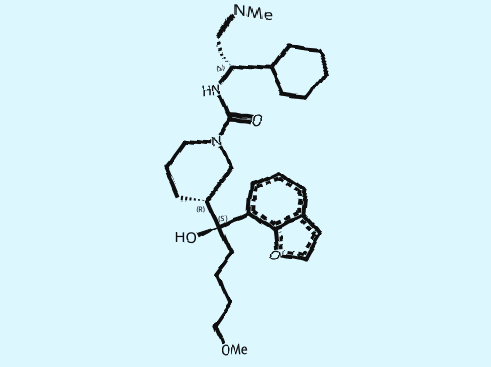 CNC[C@@H](NC(=O)N1CCC[C@@H]([C@@](O)(CCCCOC)c2cccc3ccoc23)C1)C1CCCCC1